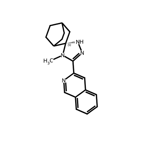 CN1C(c2cc3ccccc3cn2)=NN[C@]12CC1CCC2CC1